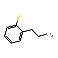 [CH2]CCc1ccccc1S